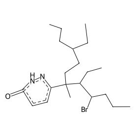 CCCC(CC)CCC(C)(c1ccc(=O)[nH]n1)C(CC)C(Br)CCC